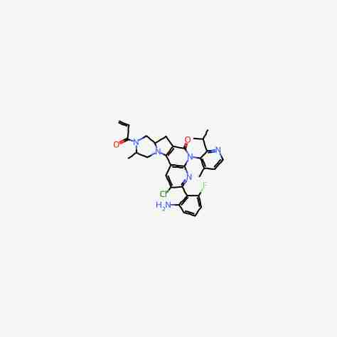 C=CC(=O)N1CC2Cc3c(c4cc(Cl)c(-c5c(N)cccc5F)nc4n(-c4c(C)ccnc4C(C)C)c3=O)N2CC1C